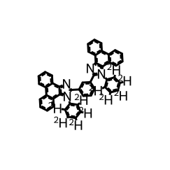 [2H]c1c([2H])c([2H])c(-n2c(-c3cccc(-c4nc5c6ccccc6c6ccccc6c5n4-c4c([2H])c([2H])c([2H])c([2H])c4[2H])c3)nc3c4ccccc4c4ccccc4c32)c([2H])c1[2H]